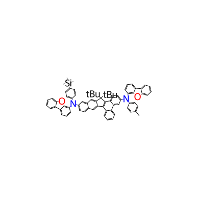 Cc1ccc(N(c2ccc3c4c(c5ccccc5c3c2)-c2cc3ccc(N(c5ccc([Si](C)(C)C)cc5)c5cccc6c5oc5ccccc56)cc3cc2C4(C(C)(C)C)C(C)(C)C)c2cccc3c2oc2ccccc23)cc1